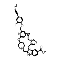 COC(=O)c1ccc2nc(CN3CCC(Oc4cccc(COc5ccc(C#CSI)cc5F)n4)CC3)n(Cc3cncn3CC3CC3)c2c1